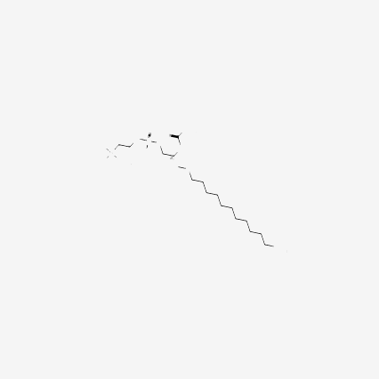 CCCCCCCCCCCCOC[C@H](COP(=O)([O-])OCC[N+](C)(C)C)OC(C)=O